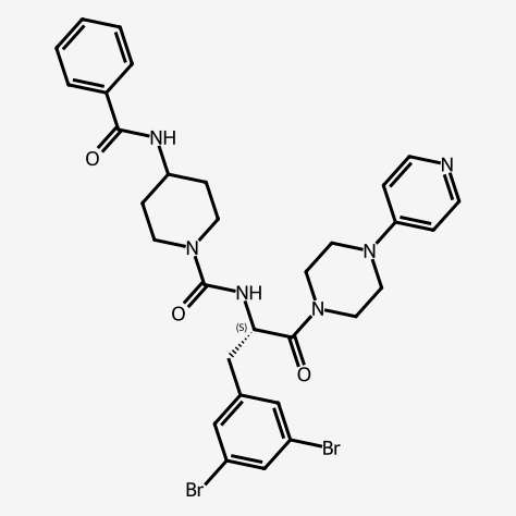 O=C(NC1CCN(C(=O)N[C@@H](Cc2cc(Br)cc(Br)c2)C(=O)N2CCN(c3ccncc3)CC2)CC1)c1ccccc1